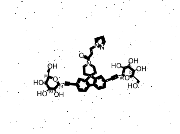 O=C(CCn1cccn1)N1CCC2(CC1)c1cc(C#C[C@H]3O[C@H](CO)[C@@H](O)[C@H](O)[C@@H]3O)ccc1-c1ccc(C#C[C@H]3O[C@H](CO)[C@@H](O)[C@H](O)[C@@H]3O)cc12